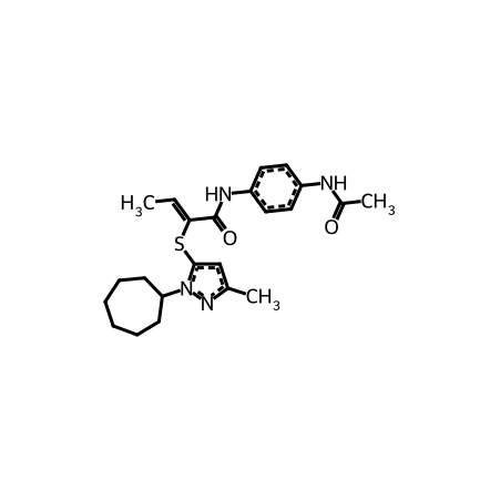 C/C=C(\Sc1cc(C)nn1C1CCCCCC1)C(=O)Nc1ccc(NC(C)=O)cc1